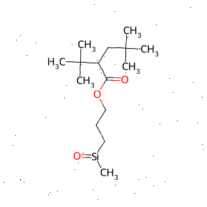 C[Si](=O)CCCOC(=O)C(CC(C)(C)C)C(C)(C)C